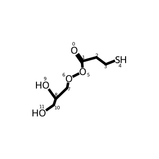 O=C(CCS)OOCC(O)CO